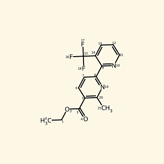 CCOC(=O)c1ccc(-c2ncccc2C(F)(F)F)nc1C